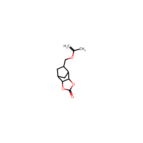 C=C(C)OCC1CC2CC1C1OC(=O)OC21